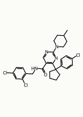 CC1CCN(c2ncc(C(=O)NCc3ccc(Cl)cc3Cl)c(C3(c4ccc(Cl)cc4)CCCC3)n2)CC1